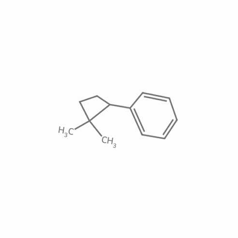 CC1(C)CCC1c1ccccc1